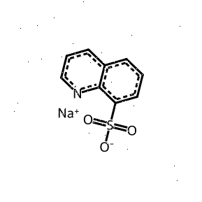 O=S(=O)([O-])c1cccc2cccnc12.[Na+]